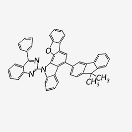 CC1(C)c2ccccc2-c2cc(-c3cc4c5ccccc5oc4c4c3c3ccccc3n4-c3nc(-c4ccccc4)c4ccccc4n3)ccc21